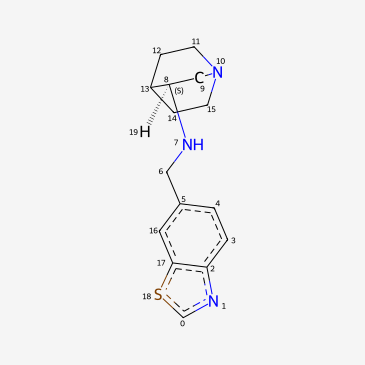 c1nc2ccc(CN[C@@H]3CN4CCC3CC4)cc2s1